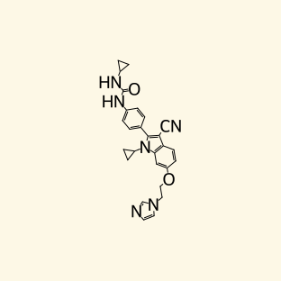 N#Cc1c(-c2ccc(NC(=O)NC3CC3)cc2)n(C2CC2)c2cc(OCCn3ccnc3)ccc12